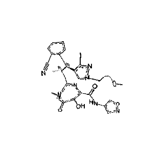 COCCn1cc([C@H](c2ccccc2C#N)[C@@H](C)c2nc(C(=O)Nc3cnoc3)c(O)c(=O)n2C)c(C)n1